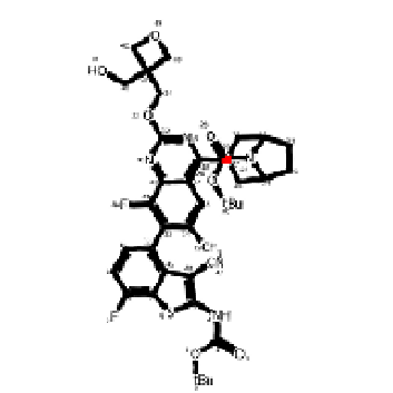 CC(C)(C)OC(=O)Nc1sc2c(F)ccc(-c3c(C(F)(F)F)cc4c(N5CC6CCC(C5)N6C(=O)OC(C)(C)C)nc(OCC5(CO)COC5)nc4c3F)c2c1C#N